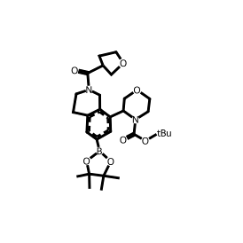 CC(C)(C)OC(=O)N1CCOCC1c1cc(B2OC(C)(C)C(C)(C)O2)cc2c1CN(C(=O)C1CCOC1)CC2